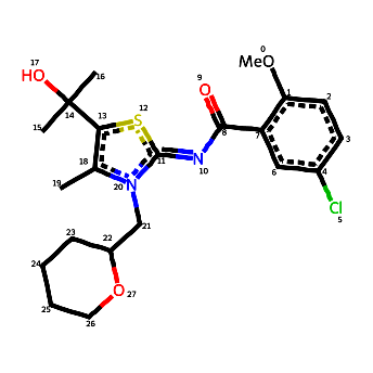 COc1ccc(Cl)cc1C(=O)/N=c1\sc(C(C)(C)O)c(C)n1CC1CCCCO1